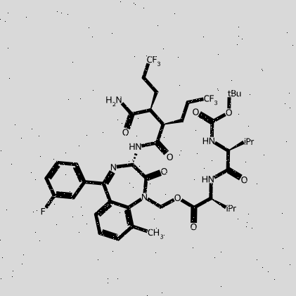 Cc1cccc2c1N(COC(=O)[C@@H](NC(=O)[C@@H](NC(=O)OC(C)(C)C)C(C)C)C(C)C)C(=O)[C@@H](NC(=O)[C@H](CCC(F)(F)F)[C@H](CCC(F)(F)F)C(N)=O)N=C2c1cccc(F)c1